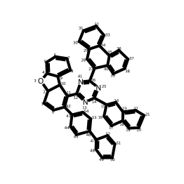 C1=CC2Oc3ccccc3C2C(c2nc(-c3ccc4ccccc4c3)nc(-c3cc4ccccc4c4ccccc34)n2)=C1c1ccc(-c2ccccc2)cc1